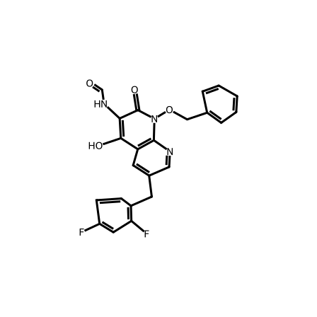 O=CNc1c(O)c2cc(Cc3ccc(F)cc3F)cnc2n(OCc2ccccc2)c1=O